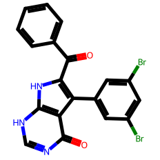 O=C(c1ccccc1)c1[nH]c2[nH]cnc(=O)c2c1-c1cc(Br)cc(Br)c1